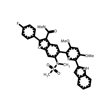 CNC(=O)c1c(-c2ccc(F)cc2)oc2cc(N(C)S(C)(=O)=O)c(-c3nc(-c4cc5ccccc5[nH]4)c(OC)cc3OC)cc12